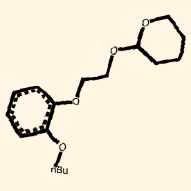 CCCCOc1ccccc1OCCOC1CCCCO1